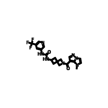 Cn1ccn2ncc(C(=O)N3CC4(CC(NC(=O)Nc5cncc(C(F)(F)F)c5)C4)C3)c12